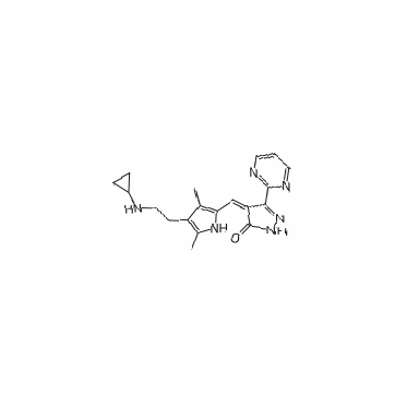 Cc1[nH]c(C=C2C(=O)NN=C2c2ncccn2)c(C)c1CCNC1CC1